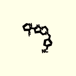 N#Cc1ccc(CN2CCn3nc(-c4ncccc4F)cc3C2)cc1